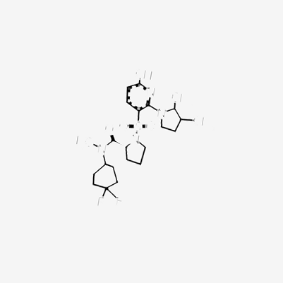 Cc1ccc(S(=O)(=O)N2CCC[C@H]2C(=O)N(C)C2CCC(F)(F)CC2)c(N2CCC(C)C2C)n1